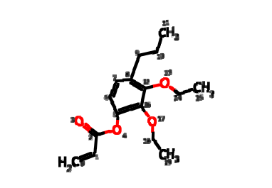 C=CC(=O)Oc1ccc(CCC)c(OCC)c1OCC